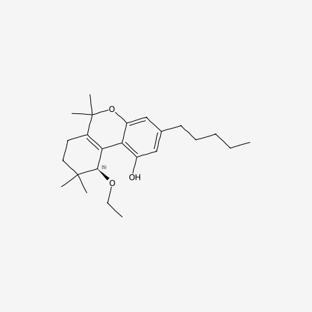 CCCCCc1cc(O)c2c(c1)OC(C)(C)C1=C2[C@@H](OCC)C(C)(C)CC1